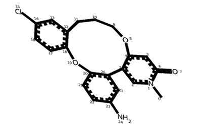 Cn1cc2c(cc1=O)OCCCc1cc(Cl)ccc1Oc1ccc(N)cc1-2